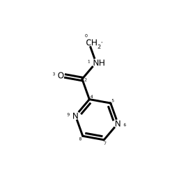 [CH2]NC(=O)c1cnccn1